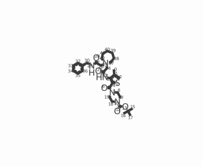 Cc1csc(C(=O)N2CCN(C(=O)OC(C)(C)C)CC2)c1NC(=O)C[N+]1(CC(=O)NCc2ccccc2)CCCCCC1